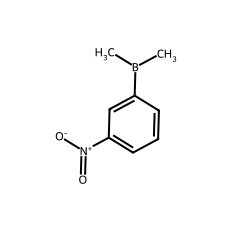 CB(C)c1cccc([N+](=O)[O-])c1